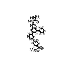 CCNC(=O)Nc1nc2cc(-c3cnnc(N4CCC(C(=O)OC)CC4)c3)cc(-c3ccccn3)c2s1